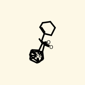 CC(=O)[C]12[CH]3[CH]4[CH]5[CH]1[Fe]45321678[CH]2[CH]1[CH]6[C]7(C(=O)CC1=CCCCC1)[CH]28